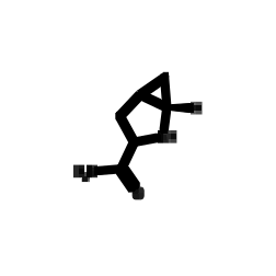 NC(=O)C1CC2C[C@@H]2N1